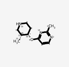 Cc1nccc(O[C@H]2CCNC[C@H]2C)n1